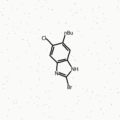 CCCCc1cc2[nH]c(Br)nc2cc1Cl